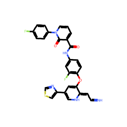 N=C/C=C1\NC=C(c2cscn2)C=C1Oc1ccc(NC(=O)c2cccn(-c3ccc(F)cc3)c2=O)cc1F